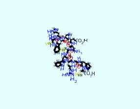 CC(C)C[C@H](NC(=O)[C@H](Cc1c[nH]c2ccccc12)NC(=O)[C@H](Cc1c[nH]cn1)NC(=O)[C@@H](N)CS)C(=O)N[C@@H](CCC(=O)O)C(=O)N[C@@H](CC(N)=O)C(=O)N[C@@H](CS)C(=O)N[C@@H](Cc1c[nH]c2ccccc12)C(=O)N[C@@H](CCCNC(=N)N)C(=O)NCC(=O)N[C@@H](Cc1ccccc1)C(=O)N[C@@H](CS)C(=O)O